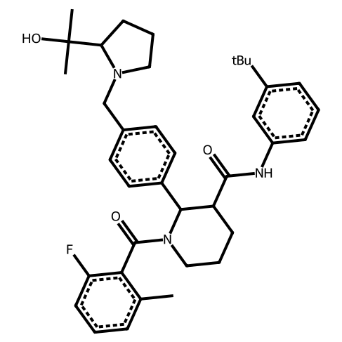 Cc1cccc(F)c1C(=O)N1CCCC(C(=O)Nc2cccc(C(C)(C)C)c2)C1c1ccc(CN2CCCC2C(C)(C)O)cc1